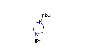 CCCCN1CCN(C(C)C)CC1